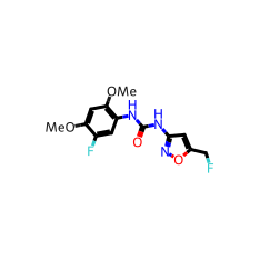 COc1cc(OC)c(NC(=O)Nc2cc(CF)on2)cc1F